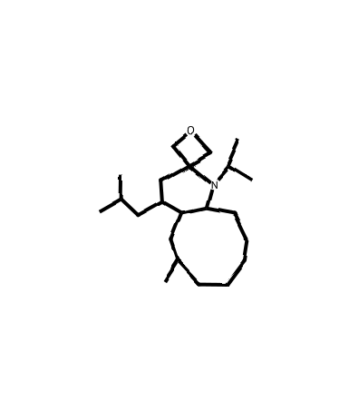 CC(C)CC1CC2(COC2)N(C(C)C)C2CCCCCC(C)CC12